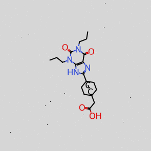 CCCn1c(=O)c2nc(C34CCC(CC(=O)O)(CC3)CC4)[nH]c2n(CCC)c1=O